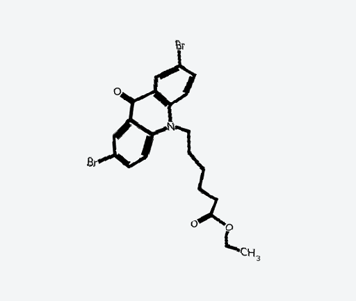 CCOC(=O)CCCCCn1c2ccc(Br)cc2c(=O)c2cc(Br)ccc21